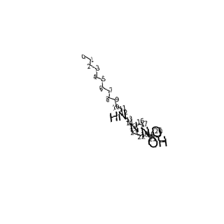 CCCCCCCCCCCCNCCN1CCN(C(=O)O)CC1